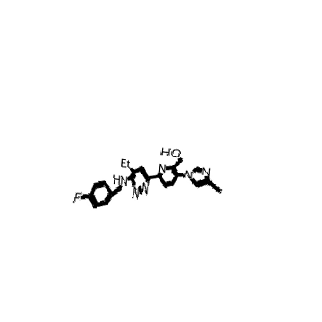 CCc1cc(-c2ccc(-n3cnc(C)c3)c(CO)n2)nnc1NCc1ccc(F)cc1